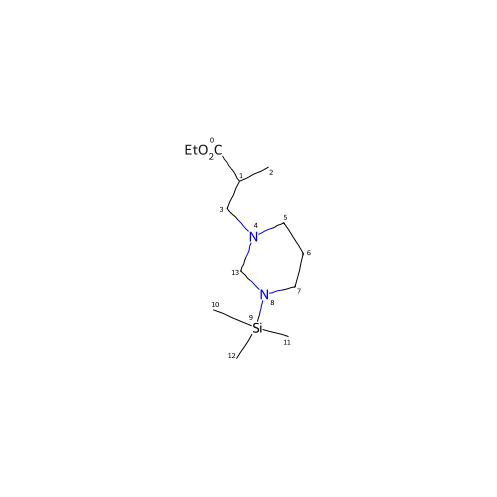 CCOC(=O)C(C)CN1CCCN([Si](C)(C)C)C1